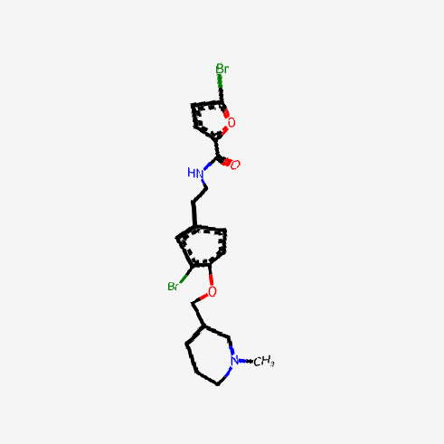 CN1CCCC(COc2ccc(CCNC(=O)c3ccc(Br)o3)cc2Br)C1